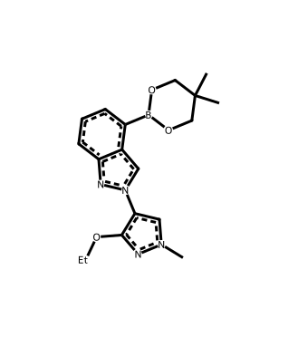 CCOc1nn(C)cc1-n1cc2c(B3OCC(C)(C)CO3)cccc2n1